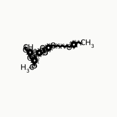 CCCc1ccc(OCCCCCCOc2ccc(S(=O)(=O)c3ccc(N4c5ccc(OC)cc5Oc5cc(OC)ccc54)cc3)cc2)cc1